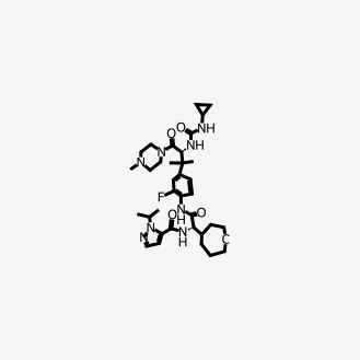 CC(C)n1nccc1C(=O)N[C@H](C(=O)Nc1ccc(C(C)(C)[C@@H](NC(=O)NC2CC2)C(=O)N2CCN(C)CC2)cc1F)C1CCCCCC1